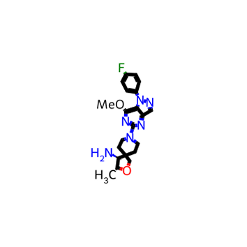 COc1nc(N2CCC3(CC2)CO[C@@H](C)[C@H]3N)nc2cnn(-c3ccc(F)cc3)c12